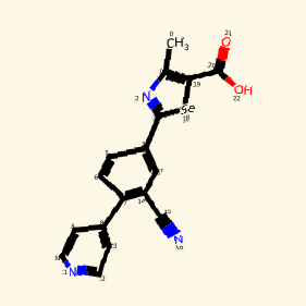 Cc1nc(-c2ccc(-c3ccncc3)c(C#N)c2)[se]c1C(=O)O